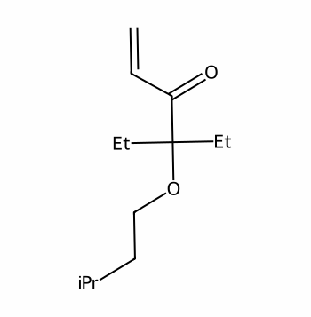 C=CC(=O)C(CC)(CC)OCCC(C)C